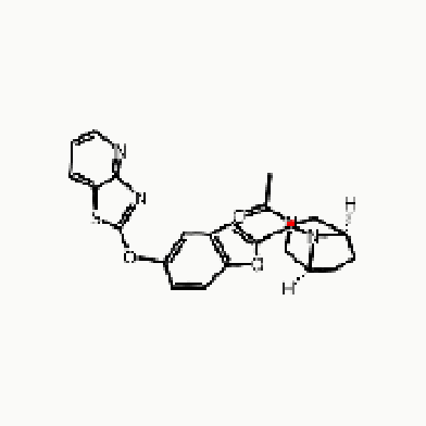 CC(=O)N1C[C@H]2CC[C@@H](C1)N2Cc1cc2cc(Oc3nc4ncccc4s3)ccc2o1